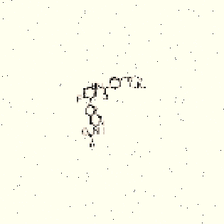 CN1CCN(Cc2ccc(C(=O)Nc3ccc(F)c(-c4ccc5cc(NC(=O)C6CC6)ncc5c4)c3)cc2)CC1